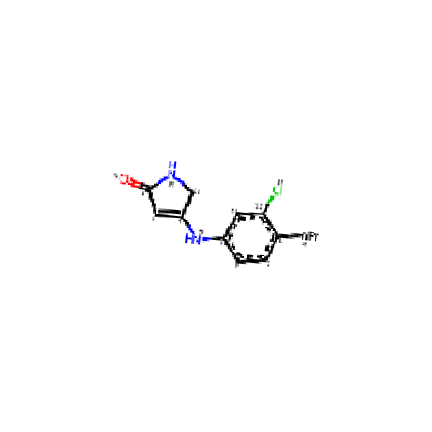 CCCc1ccc(NC2=CC(=O)NC2)cc1Cl